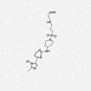 COCCNCCCS(=O)(=O)N1CCC(Nc2nccc(-c3cnc(C)n3C(C)C)n2)CC1